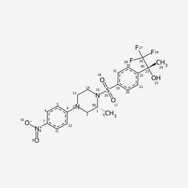 C[C@@H]1CN(c2ccc([N+](=O)[O-])cc2)CCN1S(=O)(=O)c1ccc([C@@](C)(O)C(F)(F)F)cc1